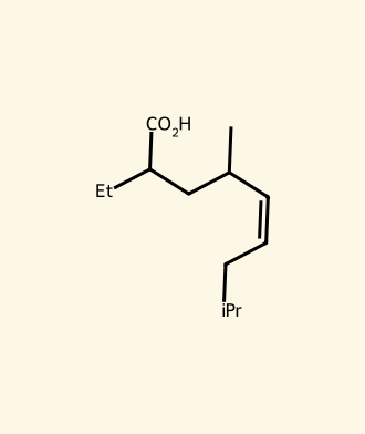 CCC(CC(C)/C=C\CC(C)C)C(=O)O